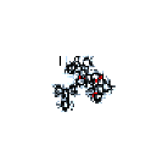 CC1(c2ccccc2)c2ccccc2-c2ccc(-c3ccccc3N(c3cccc(-c4ccc5c(c4)c4ccccc4n5-c4ccccc4)c3)c3ccccc3-c3cccc4cccc(-c5ccccc5)c34)cc21